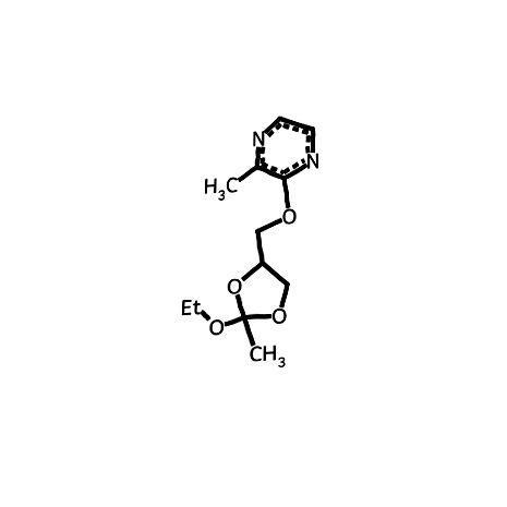 CCOC1(C)OCC(COc2nccnc2C)O1